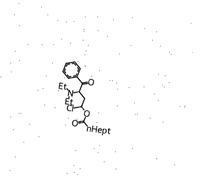 CCCCCCCC(=O)OC(Cl)CC(C(=O)c1ccccc1)N(CC)CC